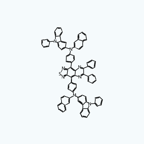 c1ccc(-c2nc3c(-c4ccc(N(c5ccc6ccccc6c5)c5ccc6c(c5)c5ccccc5n6-c5ccccc5)cc4)c4nsnc4c(-c4ccc(N(c5ccc6ccccc6c5)c5ccc6c(c5)c5ccccc5n6-c5ccccc5)cc4)c3nc2-c2ccccc2)cc1